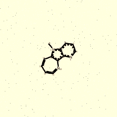 Cn1c2c(c3ncccc31)N=C=CC=C2